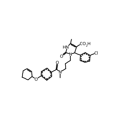 CC1=C(C(=O)O)C(c2cccc(Cl)c2)N(CCCN(C)C(=O)c2ccc(OC3C=CCCC3)cc2)C(=O)N1